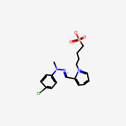 CN(/N=C/c1cccc[n+]1CCCCS(=O)(=O)[O-])c1ccc(Cl)cc1